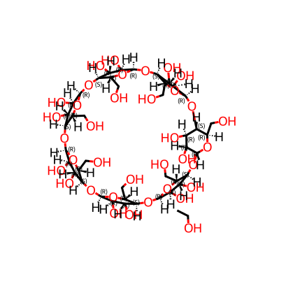 CCO.OC[C@H]1O[C@@H]2O[C@H]3[C@H](O)[C@@H](O)[C@@H](O[C@H]4[C@H](O)[C@@H](O)[C@@H](O[C@H]5[C@H](O)[C@@H](O)[C@@H](O[C@H]6[C@H](O)[C@@H](O)[C@@H](O[C@H]7[C@H](O)[C@@H](O)[C@@H](O[C@H]8[C@H](O)[C@@H](O)[C@@H](O[C@H]1[C@H](O)[C@H]2O)O[C@@H]8CO)O[C@@H]7CO)O[C@@H]6CO)O[C@@H]5CO)O[C@@H]4CO)O[C@@H]3CO